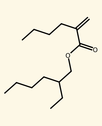 C=C(CCCC)C(=O)OCC(CC)CCCC